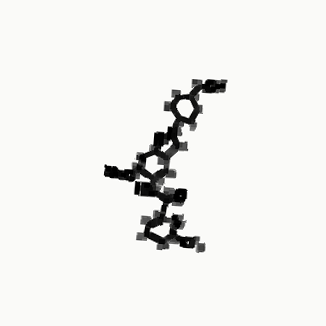 COc1cc2nn(C3CCC(CO)CC3)cc2cc1NC(=O)c1cccc(C(F)(F)F)n1